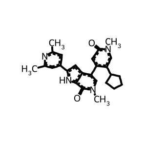 Cc1cc(-c2cc3c(-c4cc(=O)n(C)cc4C4CCCC4)cn(C)c(=O)c3[nH]2)cc(C)n1